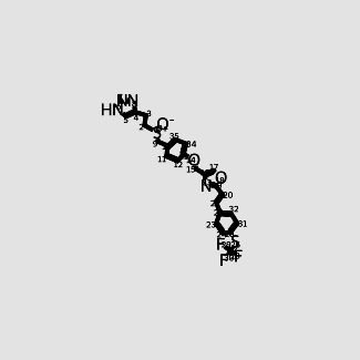 [O-][S+](CCc1c[nH]nn1)Cc1ccc(OCc2coc(C=Cc3ccc(SC(F)(F)F)cc3)n2)cc1